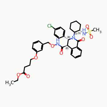 CCOC(=O)CCCOc1cccc(CONC(=O)[C@@H]2c3ccccc3C(=O)N([C@H]3CCCC[C@@H]3NS(C)(=O)=O)[C@H]2c2ccc(Cl)cc2)c1